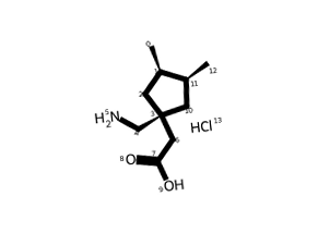 C[C@@H]1C[C@@](CN)(CC(=O)O)C[C@@H]1C.Cl